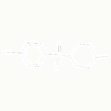 CC1CCN(S(=O)(=O)c2ccc(Br)cc2)CC1